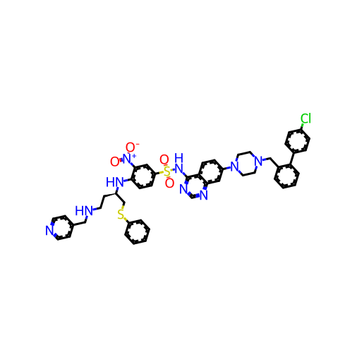 O=[N+]([O-])c1cc(S(=O)(=O)Nc2ncnc3cc(N4CCN(Cc5ccccc5-c5ccc(Cl)cc5)CC4)ccc23)ccc1N[C@H](CCNCc1ccncc1)CSc1ccccc1